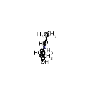 CN(C)CCCCONC/C=C/C1CC[C@@]2(O)[C@@H]3CCC4CC(O)CC[C@]4(C)[C@@H]3CC[C@]12C